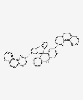 c1ccc2c(c1)Oc1ccc(-c3ccc4ccc5cccnc5c4n3)cc1C21c2ccccc2-c2ccc(-c3ccc4ccc5cccnc5c4n3)cc21